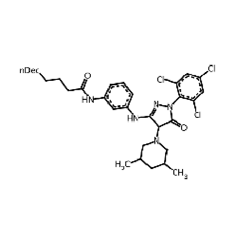 CCCCCCCCCCCCCC(=O)Nc1cccc(NC2=NN(c3c(Cl)cc(Cl)cc3Cl)C(=O)C2N2CC(C)CC(C)C2)c1